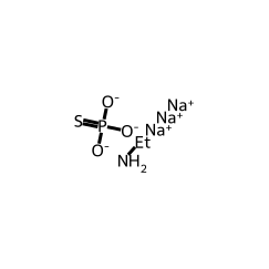 CCN.[Na+].[Na+].[Na+].[O-]P([O-])([O-])=S